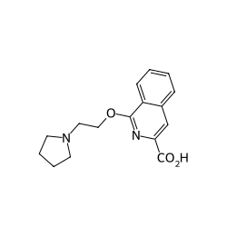 O=C(O)c1cc2ccccc2c(OCCN2CCCC2)n1